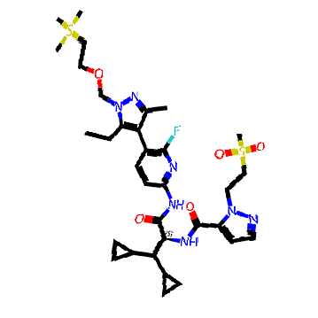 CCc1c(-c2ccc(NC(=O)[C@@H](NC(=O)c3ccnn3CCS(C)(=O)=O)C(C3CC3)C3CC3)nc2F)c(C)nn1COCCS(C)(C)C